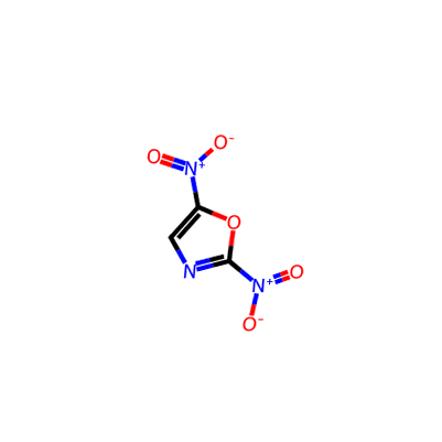 O=[N+]([O-])c1cnc([N+](=O)[O-])o1